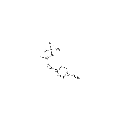 CC(C)(C)OC(=O)[C@H]1C[C@@H]1c1ccc(C#N)cc1